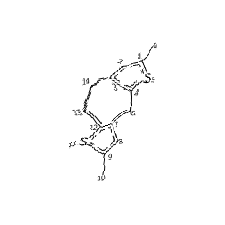 Cc1cc2c(s1)C=c1cc(C)sc1=CC2